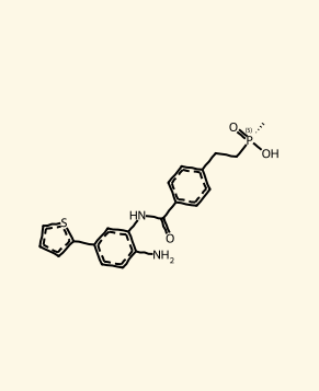 C[P@](=O)(O)CCc1ccc(C(=O)Nc2cc(-c3cccs3)ccc2N)cc1